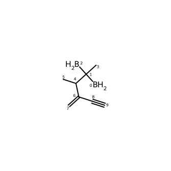 BC(B)(C)C(C)C(=C)C#C